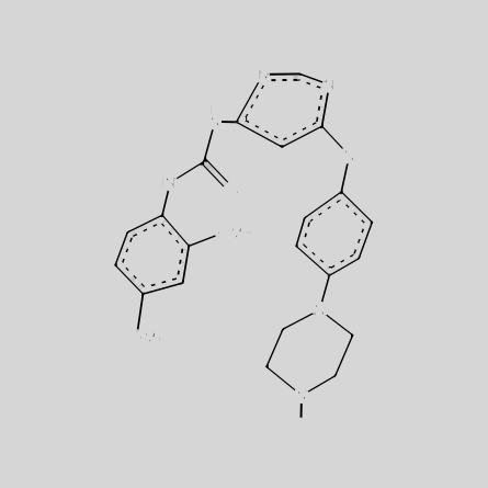 COc1ccc(NC(=O)Nc2cc(Nc3ccc(N4CCN(C)CC4)cc3)ncn2)c(OC)c1